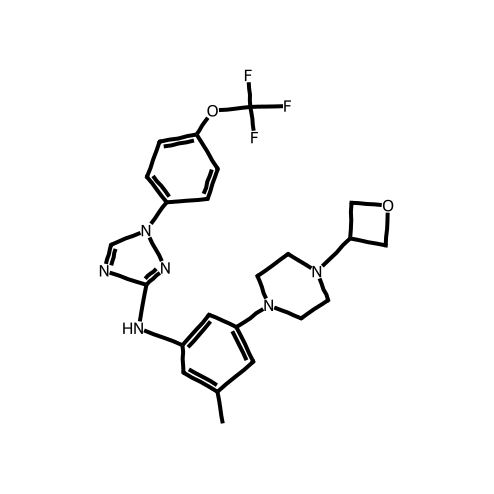 Cc1cc(Nc2ncn(-c3ccc(OC(F)(F)F)cc3)n2)cc(N2CCN(C3COC3)CC2)c1